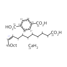 CCCCCCCC/C=C\CCCCCCCC(=O)O.O=C(O)c1ccc(C(=O)O)cc1.[CaH2]